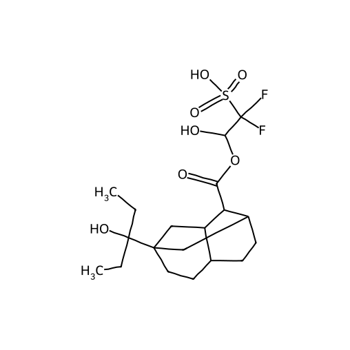 CCC(O)(CC)C12CCC3CCC(C1)C(C(=O)OC(O)C(F)(F)S(=O)(=O)O)C3C2